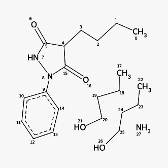 CCCCC1C(=O)NN(c2ccccc2)C1=O.CCCCO.CCCCO.N